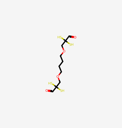 O=CC(S)(S)COCCCCOCC(S)(S)C=O